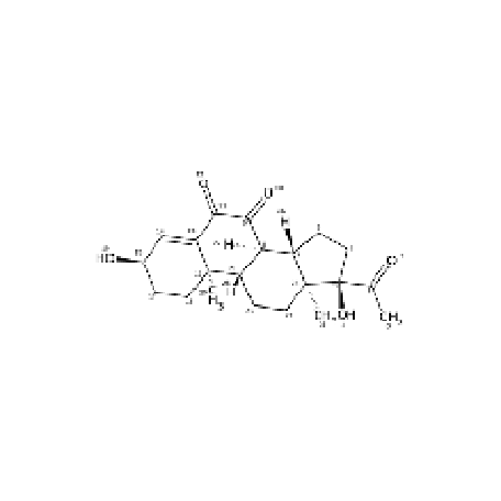 CC(=O)[C@@]1(O)CC[C@H]2[C@@H]3C(=O)C(=O)C4=C[C@H](O)CC[C@]4(C)[C@H]3CC[C@@]21C